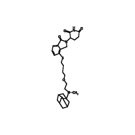 CN(CCOCCCCSc1cccc2c1CN(C1CCC(=O)NC1=O)C2=O)C12CC3CC(CC(C3)C1)C2